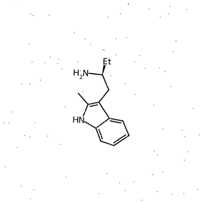 CC[C@H](N)Cc1c(C)[nH]c2ccccc12